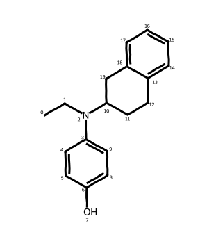 CCN(c1ccc(O)cc1)C1CCc2ccccc2C1